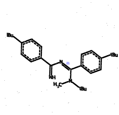 CCC(C)c1ccc(C(=N)/N=C(/c2ccc(C(C)(C)C)cc2)N(C)C(C)(C)C)cc1